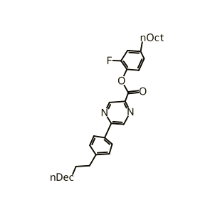 CCCCCCCCCCCCc1ccc(-c2cnc(C(=O)Oc3ccc(CCCCCCCC)cc3F)cn2)cc1